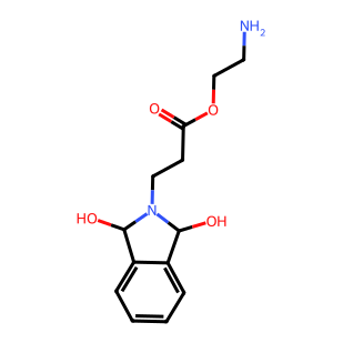 NCCOC(=O)CCN1C(O)c2ccccc2C1O